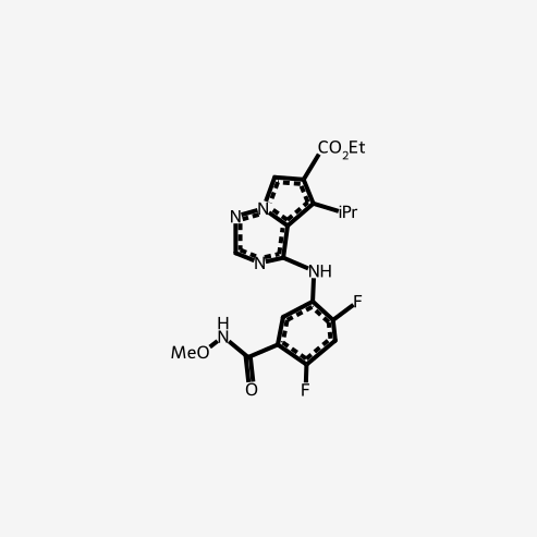 CCOC(=O)c1cn2ncnc(Nc3cc(C(=O)NOC)c(F)cc3F)c2c1C(C)C